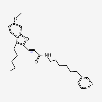 CCCCCc1c(/C=C/C(=O)NCCCCCCc2cccnc2)oc2cc(OC)ccc12